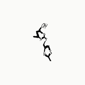 Cc1cc(O)nc(SCc2csc(C)n2)n1